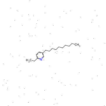 [CH2]Cc1ccc(CCCCCCCCCC)cn1